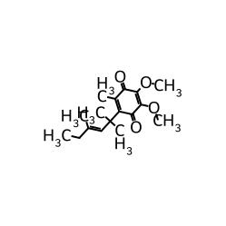 CC/C(C)=C/C(C)(C)C1=C(C)C(=O)C(OC)=C(OC)C1=O